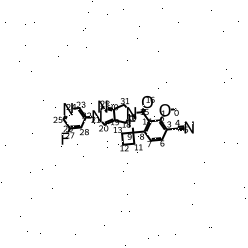 COc1c(C#N)ccc(C2(F)CCC2)c1C(=O)N1Cc2cn(-c3cncc(F)c3)nc2C1